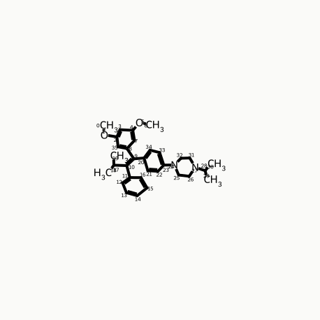 COc1cc(OC)cc(/C(=C(/c2ccccc2)C(C)C)c2ccc(N3CCN(C(C)C)CC3)cc2)c1